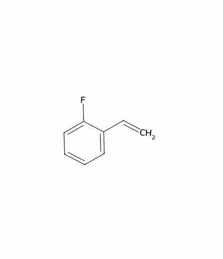 C=Cc1ccccc1F